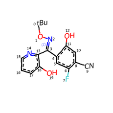 CC(C)(C)O/N=C(/c1cc(F)c(C#N)cc1O)c1ncccc1O